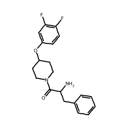 NC(Cc1ccccc1)C(=O)N1CCC(Oc2ccc(F)c(F)c2)CC1